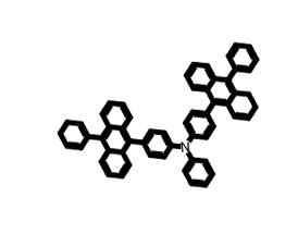 C1=CC2C(C3=CCCC=C3)=c3ccccc3=C(c3ccc(N(c4ccccc4)c4ccc(-c5c6c(c(-c7ccccc7)c7ccccc57)CCC=C6)cc4)cc3)C2C=C1